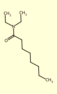 CCCCCCCC(=O)N(CC)CC